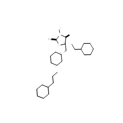 CN1C(=N)N[C@](CCC2CCCCC2)(C[C@@H]2CCC[C@@H](CCCC3CCCCC3)C2)C1=O